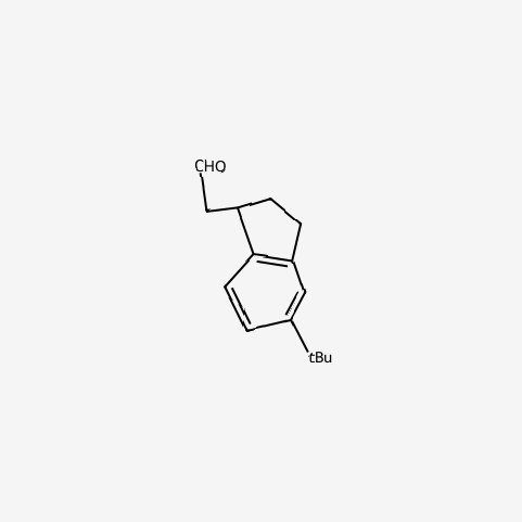 CC(C)(C)c1ccc2c(c1)CCC2CC=O